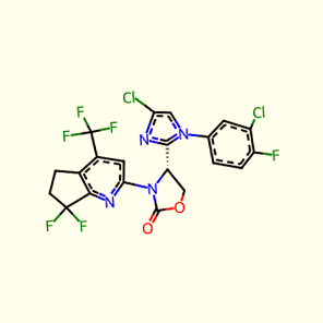 O=C1OC[C@@H](c2nc(Cl)cn2-c2ccc(F)c(Cl)c2)N1c1cc(C(F)(F)F)c2c(n1)C(F)(F)CC2